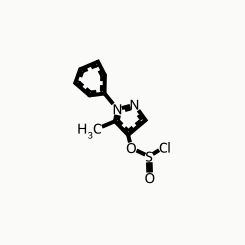 Cc1c(OS(=O)Cl)cnn1-c1ccccc1